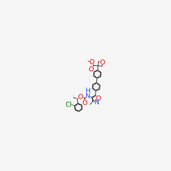 COC(=O)C1(c2ccc(-c3ccc(-c4onc(C)c4NC(=O)O[C@H](C)c4ccccc4Cl)cc3)cc2)COC1